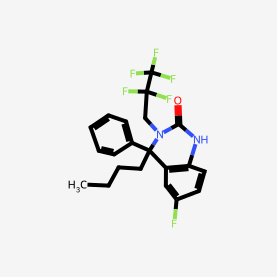 CCCCC1(c2ccccc2)c2cc(F)ccc2NC(=O)N1CC(F)(F)C(F)(F)F